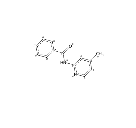 Cc1ccnc(NC(=O)c2ccccc2)c1